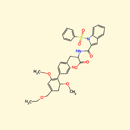 CCOCC1=CC(OC)=C(c2ccc(CC(NC(=O)c3cc4ccccc4n3S(=O)(=O)c3ccccc3)C(=O)O)cc2)C(OC)C1